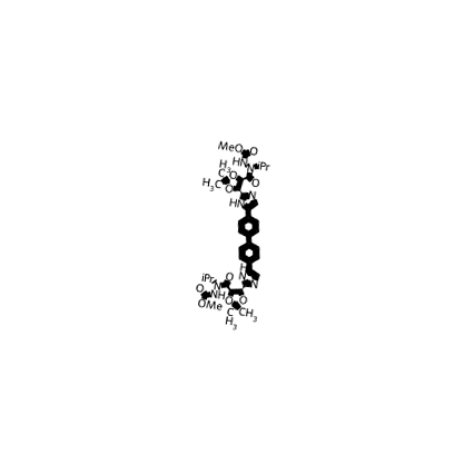 COC(=O)NN(C(=O)[C@@H]1OC(C)(C)O[C@H]1c1ncc(-c2ccc(-c3ccc(-c4cnc([C@@H]5OC(C)(C)O[C@H]5C(=O)N(NC(=O)OC)C(C)C)[nH]4)cc3)cc2)[nH]1)C(C)C